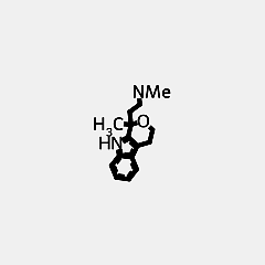 CNCCC1(C)OCCc2c1[nH]c1ccccc21